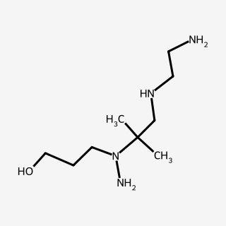 CC(C)(CNCCN)N(N)CCCO